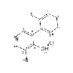 CC1=CCCC(Cl)=C1c1cccc(Br)c1O